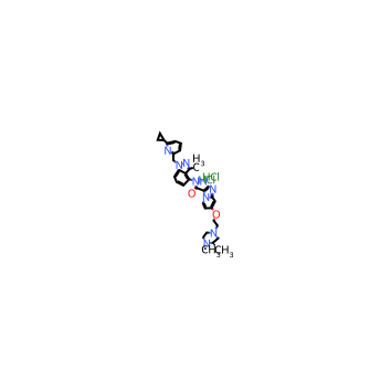 Cc1nn(Cc2cccc(C3CC3)n2)c2cccc(NC(=O)c3cnc4cc(OCCN5CCN(C)[C@H](C)C5)ccn34)c12.Cl.Cl